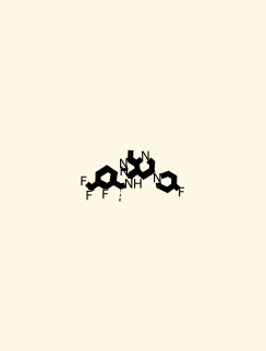 Cc1nnc(N[C@H](C)c2cccc(C(F)F)c2F)c2cc(N3CCC(F)CC3)cnc12